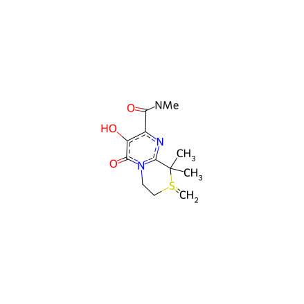 C=S1CCn2c(nc(C(=O)NC)c(O)c2=O)C1(C)C